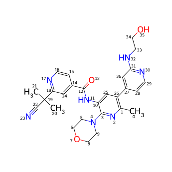 Cc1nc(N2CCOCC2)c(NC(=O)c2ccnc(C(C)(C)C#N)c2)cc1-c1ccnc(NCCO)c1